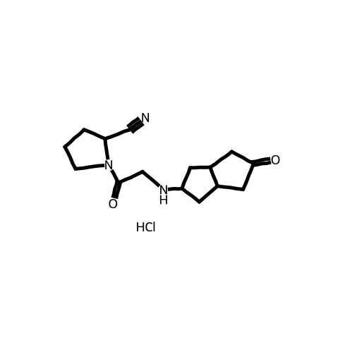 Cl.N#CC1CCCN1C(=O)CNC1CC2CC(=O)CC2C1